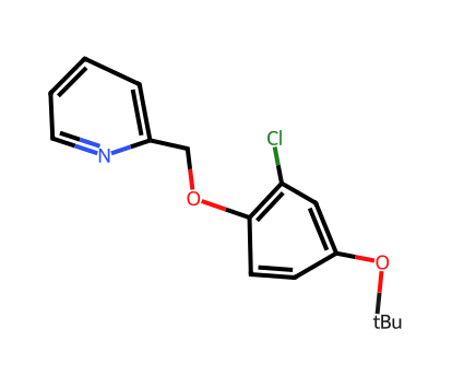 CC(C)(C)Oc1ccc(OCc2ccccn2)c(Cl)c1